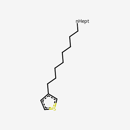 CCCCCCCCCCCCCCCc1ccsc1